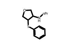 CCCNC1COCC1Sc1ccccc1